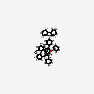 c1ccc(-c2nc(-c3ccccc3)nc(-c3cccc4sc5cccc(Cc6ccc7c(c6)oc6cc(-n8c9ccccc9c9ccccc98)ccc67)c5c34)n2)cc1